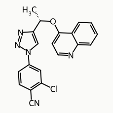 C[C@H](Oc1ccnc2ccccc12)c1cn(-c2ccc(C#N)c(Cl)c2)nn1